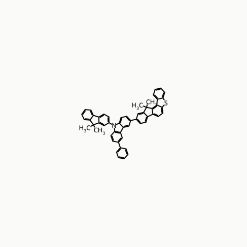 CC1(C)c2ccccc2-c2ccc(-n3c4ccc(-c5ccccc5)cc4c4cc(-c5ccc6c(c5)C(C)(C)c5c-6ccc6sc7ccccc7c56)ccc43)cc21